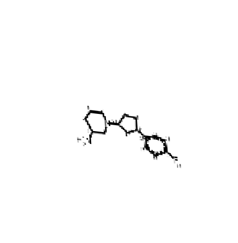 NC1CCCN(C2[CH]CC(c3ccc(F)cc3)C2)C1